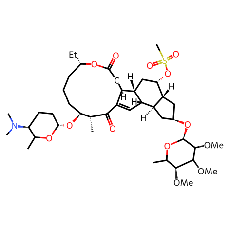 CC[C@H]1CCC[C@H](O[C@H]2CC[C@H](N(C)C)C(C)O2)[C@@H](C)C(=O)C2=C[C@@H]3[C@@H](C[C@H](OS(C)(=O)=O)[C@@H]4C[C@@H](O[C@@H]5OC(C)[C@H](OC)C(OC)C5OC)C[C@@H]34)[C@@H]2CC(=O)O1